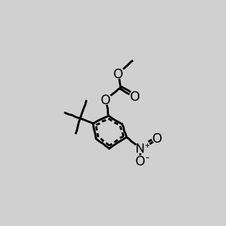 COC(=O)Oc1cc([N+](=O)[O-])ccc1C(C)(C)C